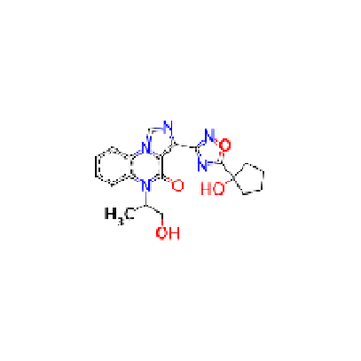 CC(CO)n1c(=O)c2c(-c3noc(C4(O)CCCC4)n3)ncn2c2ccccc21